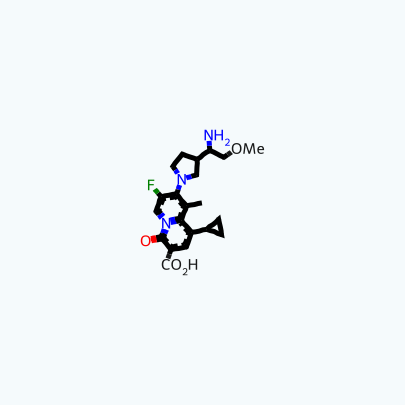 COCC(N)C1CCN(c2c(F)cn3c(=O)c(C(=O)O)cc(C4CC4)c3c2C)C1